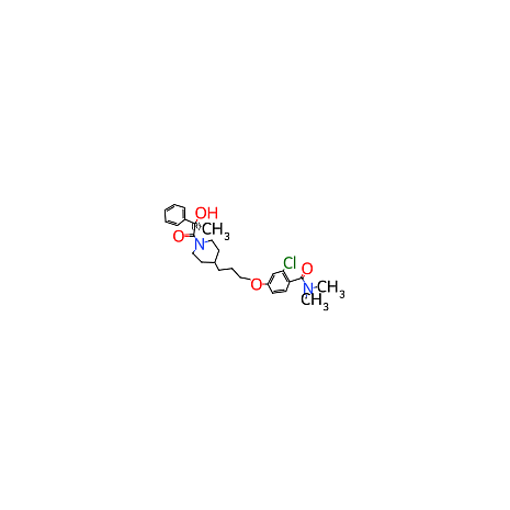 CN(C)C(=O)c1ccc(OCCCCC2CCN(C(=O)[C@](C)(O)c3ccccc3)CC2)cc1Cl